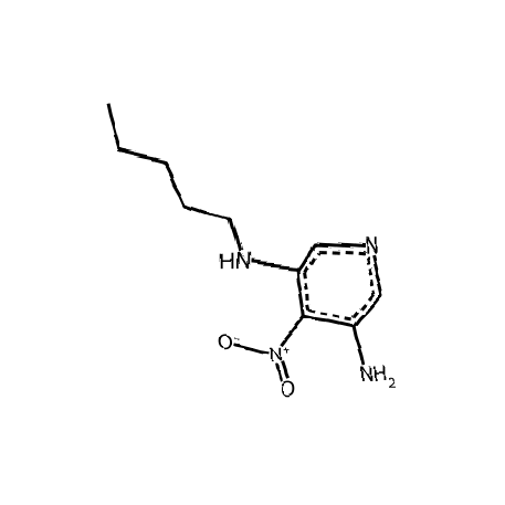 CCCCCNc1cncc(N)c1[N+](=O)[O-]